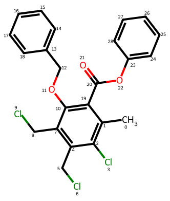 Cc1c(Cl)c(CCl)c(CCl)c(OCc2ccccc2)c1C(=O)Oc1ccccc1